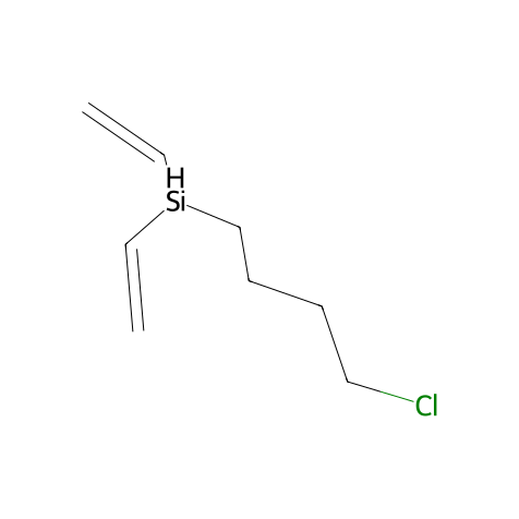 C=C[SiH](C=C)CCCCCl